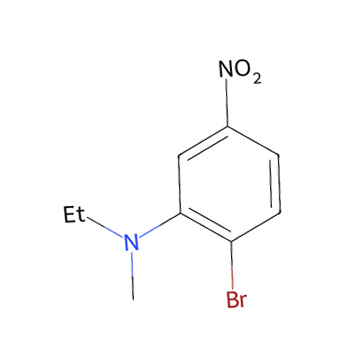 CCN(C)c1cc([N+](=O)[O-])ccc1Br